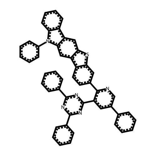 c1ccc(-c2cnc(-c3ccc4c(c3)sc3cc5c6ccccc6n(-c6ccccc6)c5cc34)c(-c3nc(-c4ccccc4)nc(-c4ccccc4)n3)c2)cc1